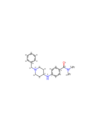 CC(C)N(C(=O)c1ccc(NC2CCN(Cc3ccccc3)CC2)cc1)C(C)C